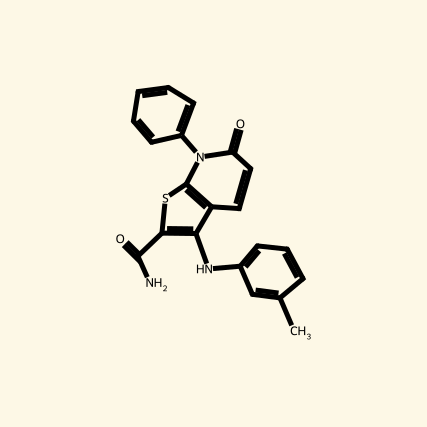 Cc1cccc(Nc2c(C(N)=O)sc3c2ccc(=O)n3-c2ccccc2)c1